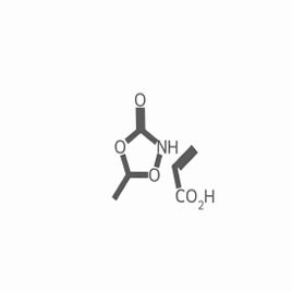 C=CC(=O)O.CC1ONC(=O)O1